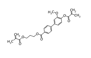 C=C(C)C(=O)OCCCOC(=O)c1ccc(-c2ccc(OC(=O)C(=C)C)c(OC)c2)cc1